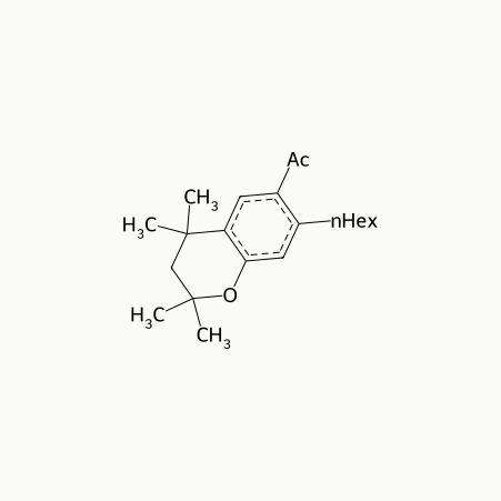 CCCCCCc1cc2c(cc1C(C)=O)C(C)(C)CC(C)(C)O2